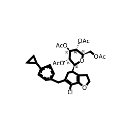 CC(=O)OC[C@H]1O[C@@H](C2CC(Cc3ccc(C4CC4)cc3)=C(Cl)C3=C2CCO3)[C@H](OC(C)=O)[C@@H](OC(C)=O)[C@@H]1OC(C)=O